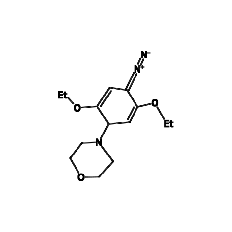 CCOC1=CC(N2CCOCC2)C(OCC)=CC1=[N+]=[N-]